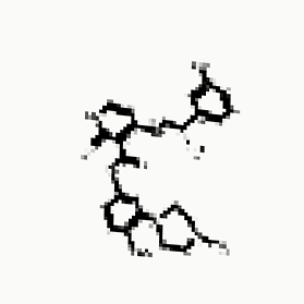 COc1ccc(NC(=O)c2c(NC[C@@H](O)c3cccc(Cl)c3)cc[nH]c2=O)cc1N1CCN(C)CC1